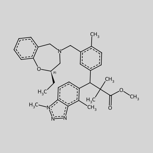 CC[C@@H]1CN(Cc2cc(C(c3ccc4c(nnn4C)c3C)C(C)(C)C(=O)OC)ccc2C)Cc2ccccc2O1